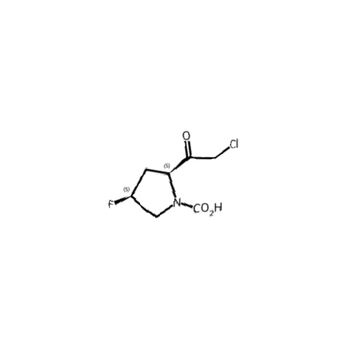 O=C(CCl)[C@@H]1C[C@H](F)CN1C(=O)O